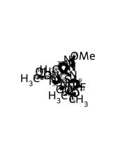 COc1cnc2c(-c3nc4cc(F)c(O[C@@H](C)[C@@H](C)OC(=O)Nc5cnc(OC[C@H](C)O)nc5)nc4s3)cc(C)cc2n1